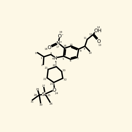 CC(C)CN(c1ccc(C(C)CC(=O)O)cc1[N+](=O)[O-])[C@H]1CC[C@H](O[Si](C)(C)C(C)(C)C)CC1